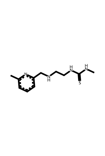 CNC(=S)NCCNCc1cccc(C)n1